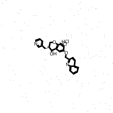 Cl.Cl.O[C@@H]1c2cc(OCc3ccc4ccccc4n3)ccc2OC[C@H]1Cc1cccnc1